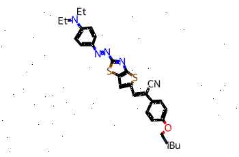 CCC(C)COc1ccc(/C(C#N)=C/c2cc3sc(/N=N/c4ccc(N(CC)CC)cc4)nc3s2)cc1